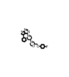 Fc1ccc(OCC2CN(C3CCN(c4ncnc5scc(-c6ccccc6)c45)CC3)CCO2)cc1